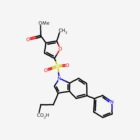 COC(=O)c1cc(S(=O)(=O)n2cc(CCC(=O)O)c3cc(-c4cccnc4)ccc32)oc1C